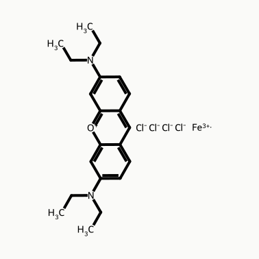 CCN(CC)c1ccc2cc3ccc(N(CC)CC)cc3[o+]c2c1.[Cl-].[Cl-].[Cl-].[Cl-].[Fe+3]